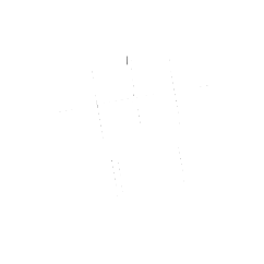 CC(C)(C)S(F)(c1ccccc1)C(C)(C)C